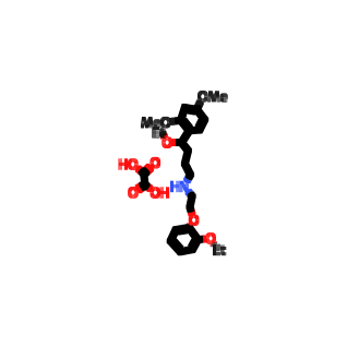 CCOc1ccccc1OCCNCCCC(OCC)c1ccc(OC)cc1OC.O=C(O)C(=O)O